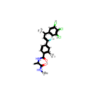 CCCCNC(=O)C(C)NC(=O)c1ccc(/C(F)=C/C(c2cc(Cl)c(Cl)c(Cl)c2)C(F)(F)F)cc1C(F)(F)F